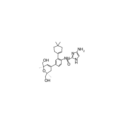 CC1(C)CC=C(c2cc(C3=C[C@](C)(CO)O[C@](C)(CO)C3)ccc2NC(=O)c2nc(N)c[nH]2)CC1